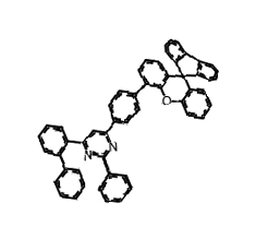 c1ccc(-c2nc(-c3ccc(-c4cccc5c4Oc4ccccc4C54c5ccccc5-c5ccccc54)cc3)cc(-c3ccccc3-c3ccccc3)n2)cc1